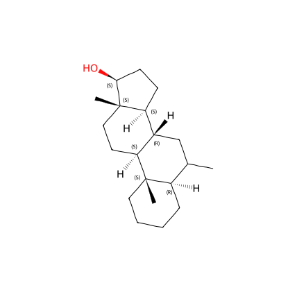 CC1C[C@@H]2[C@H](CC[C@]3(C)[C@@H](O)CC[C@@H]23)[C@@]2(C)CCCC[C@H]12